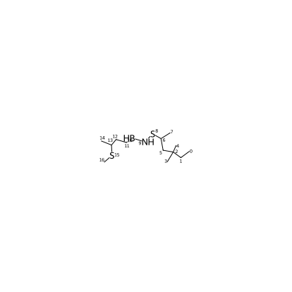 CCC(C)(C)CC(C)SNBCCC(C)SC